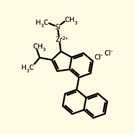 CC(C)C1=Cc2c(-c3cccc4ccccc34)cccc2[CH]1[Zr+2][Si](C)C.[Cl-].[Cl-]